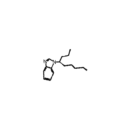 CCCCCC(CCC)n1cnc2ccccc21